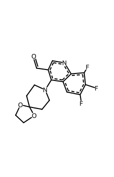 O=Cc1cnc2c(F)c(F)c(F)cc2c1N1CCC2(CC1)OCCO2